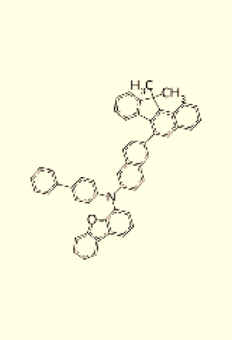 CC1(C)c2ccccc2-c2c(-c3ccc4cc(N(c5ccc(-c6ccccc6)cc5)c5cccc6c5oc5ccccc56)ccc4c3)cc3ccccc3c21